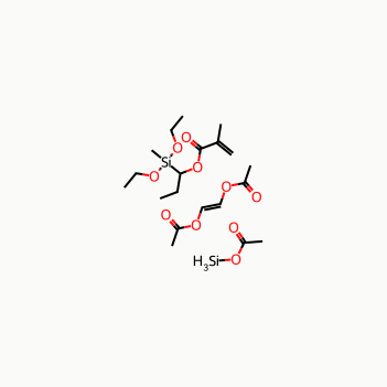 C=C(C)C(=O)OC(CC)[Si](C)(OCC)OCC.CC(=O)OC=COC(C)=O.CC(=O)O[SiH3]